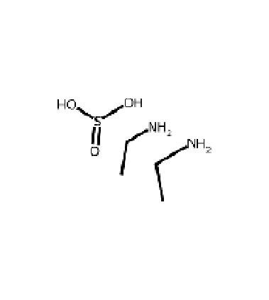 CCN.CCN.O=S(O)O